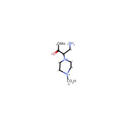 COC(=O)C(CN)N1CCN(C(=O)O)CC1